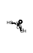 CCC(OCCCO)(OCCCO)c1ccccc1